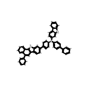 c1ccc(-c2ccc(N(c3ccc(-c4ccc5c(c4)oc4c6ccccc6c(-c6ccccc6)cc54)cc3)c3ccc4c(c3)oc3ccccc34)cc2)cc1